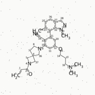 C=CC(=O)N1CC2(CCN(c3cc(OCCCN(C)C)cc(-c4c(C)ccc5cnn(C)c45)c3C#N)C2)C1